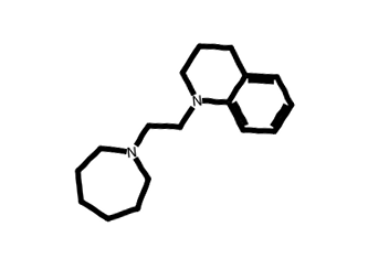 c1ccc2c(c1)CCCN2CCN1CCCCCC1